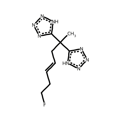 CC(CC=CCCF)(c1nnn[nH]1)c1nnn[nH]1